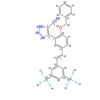 N#Cc1[nH]nnc1-c1cc(/C=C/c2cc(C(F)(F)F)cc(C(F)(F)F)c2)ccc1OCc1ccccc1